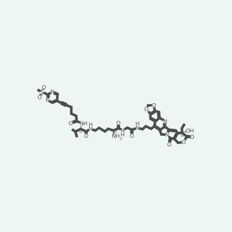 CC[C@@]1(O)C(=O)OCc2c1cc1n(c2=O)Cc2c-1nc1cc3c(cc1c2CCCNC(=O)CNC(=O)[C@@H](N)CCCCNC(=O)[C@@H](NC(=O)CCCC#Cc1cnc(S(C)(=O)=O)nc1)C(C)C)OCO3